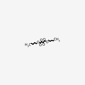 CCCCCOC(=O)C(=O)C(=O)C(=O)OCCCCC